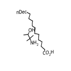 CC(O)C(C)(C)N.CCCCCCCCCCCCCCCCCCCCCC(=O)O